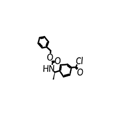 C[C@@H](NC(=O)OCc1ccccc1)c1ccc(C(=O)Cl)cc1